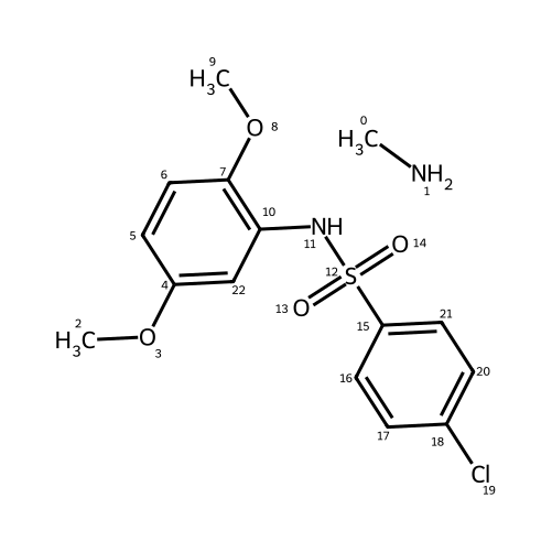 CN.COc1ccc(OC)c(NS(=O)(=O)c2ccc(Cl)cc2)c1